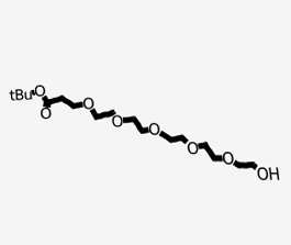 CC(C)(C)OC(=O)CCOCCOCCOCCOCCOCCO